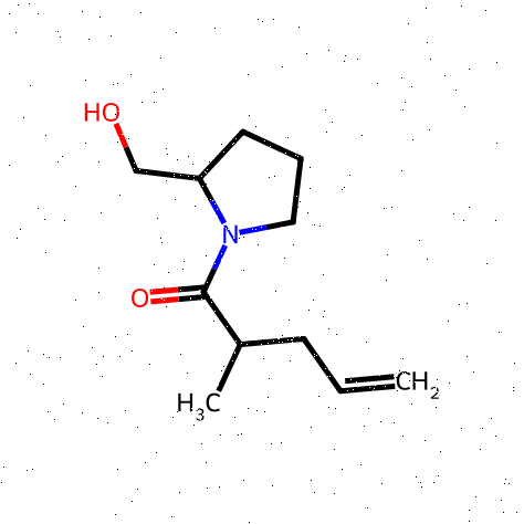 C=CCC(C)C(=O)N1CCCC1CO